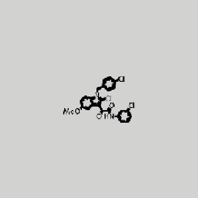 COc1ccc2c(c1)c(C(=O)C(=O)Nc1cccc(Cl)c1)c(Cl)n2Cc1ccc(Cl)cc1